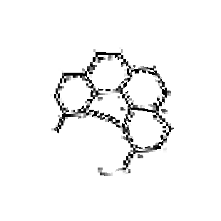 C=c1ccc2ccc3ccc4cc/c(=C/C)c5c4c3c2c1=5